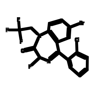 O=C1C(F)N=C(c2ccccc2Cl)c2cc(Br)ccc2N1CC(F)(F)F